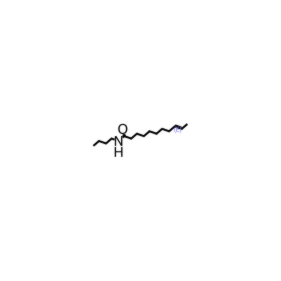 C/C=C/CCCCCCCC(=O)NCCCC